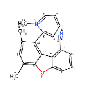 Cc1cc(C)c2oc3cccc(C#N)c3c2c1-c1cccc[n+]1C